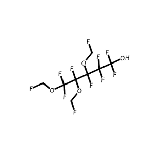 OC(F)(F)C(F)(F)C(F)(OCF)C(F)(OCF)C(F)(F)OCF